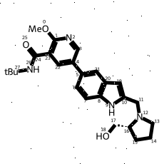 COc1ncc(-c2ccc3[nH]c(CN4CCC[C@@H]4CO)cc3c2)cc1C(=O)NC(C)(C)C